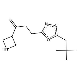 C=C(CCc1nnc(CC(C)(C)C)o1)C1CNC1